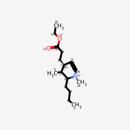 CCCCC1C(C)[C@@H](CCC(=O)OCC)C#CN1C